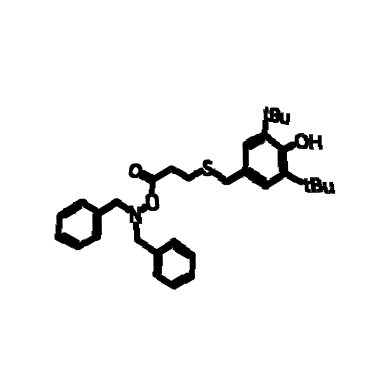 CC(C)(C)c1cc(CSCCC(=O)ON(Cc2ccccc2)Cc2ccccc2)cc(C(C)(C)C)c1O